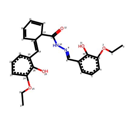 CCOc1cccc(C=NNC(=O)C2C=CC=CC2=Cc2cccc(OCC)c2O)c1O